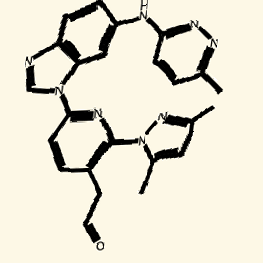 Cc1ccc(Nc2ccc3ncn(-c4ccc(CC=O)c(-n5nc(C)cc5C)n4)c3c2)nn1